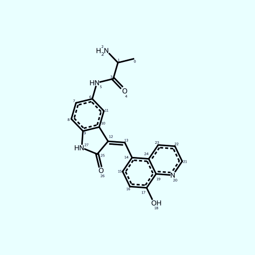 CC(N)C(=O)Nc1ccc2c(c1)C(=Cc1ccc(O)c3ncccc13)C(=O)N2